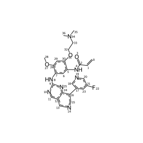 C=CC(=O)Nc1cc(Nc2ncc3cncc(-c4cncc(F)c4)c3n2)c(OC)cc1OCCN(C)C